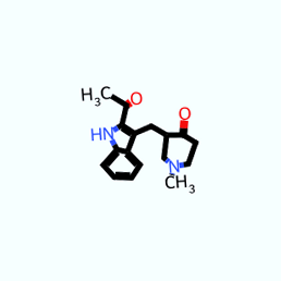 CC(=O)c1[nH]c2ccccc2c1CC1CN(C)CCC1=O